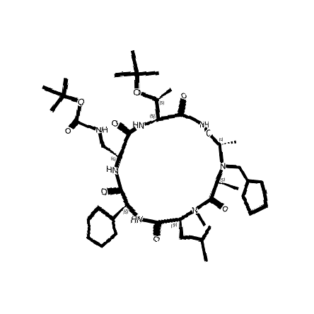 CC(C)C[C@H]1C(=O)N[C@@H](C2CCCCC2)C(=O)N[C@@H](CNC(=O)OC(C)(C)C)C(=O)N[C@@H]([C@H](C)OC(C)(C)C)C(=O)NC[C@H](C)N(CC2CCCC2)[C@@H](C)C(=O)N1C